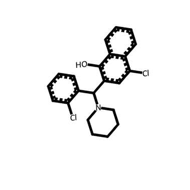 Oc1c(C(c2ccccc2Cl)N2CCCCC2)cc(Cl)c2ccccc12